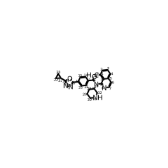 Cc1cccc2ccnc(N(C(=O)c3ccc(-c4nnc(C5CC5)o4)cc3)[C@@H]3CCCNC3)c12